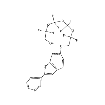 OCC(F)(F)OC(F)(F)OC(F)(F)OC(F)(F)COc1ccc2cc(-c3cccnc3)sc2c1